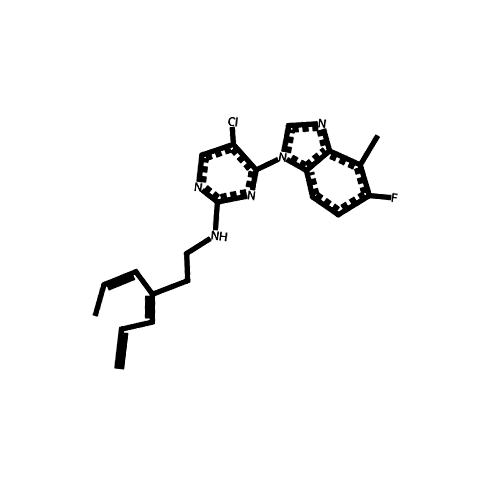 C=C/C=C(\C=C/C)CCNc1ncc(Cl)c(-n2cnc3c(C)c(F)ccc32)n1